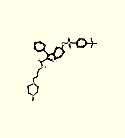 CN1CCN(CCCNC(=O)c2[nH]c3ccc(NS(=O)(=O)c4ccc(C(C)(C)C)cc4)cc3c2-c2ccccc2)CC1